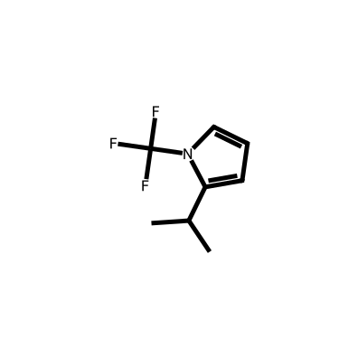 CC(C)c1cccn1C(F)(F)F